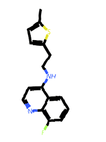 Cc1ccc(CCNc2ccnc3c(F)cccc23)s1